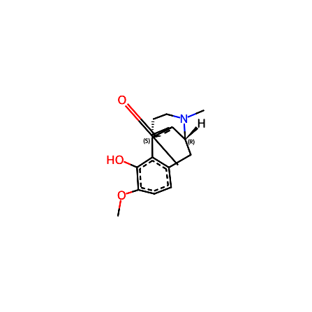 COc1ccc2c(c1O)[C@]13CCN(C)[C@H](C2)C1C=CC(=O)C3